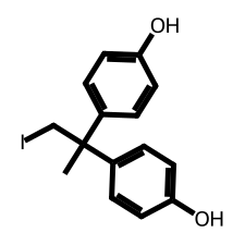 CC(CI)(c1ccc(O)cc1)c1ccc(O)cc1